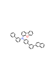 c1ccc(-c2cccc(N(c3ccc(-c4cccc(-c5ccc6ccccc6c5)c4)cc3)c3cccc4c3oc3ccccc34)c2)cc1